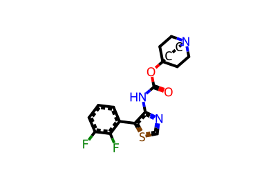 O=C(Nc1ncsc1-c1cccc(F)c1F)OC12CCN(CC1)CC2